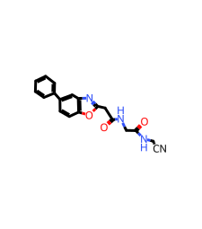 N#CCNC(=O)CNC(=O)Cc1nc2cc(-c3ccccc3)ccc2o1